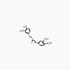 O=C(C=Cc1ccc(O)c(O)c1)CCc1ccc(O)c(O)c1